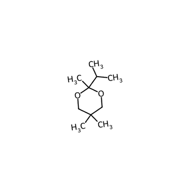 CC(C)C1(C)OCC(C)(C)CO1